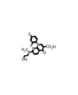 CCOC(=O)c1cn(-c2ccc(F)cc2F)c2nc(N(C)CCO)ccc2c1=O